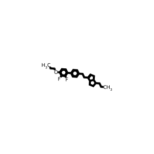 CCCOc1ccc(-c2ccc(CCC3=CCC4C(CCC)CCC34)cc2)c(F)c1F